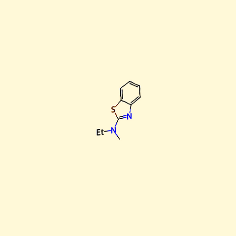 CCN(C)c1nc2ccccc2s1